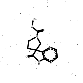 CC(C)(C)OC(=O)N1CCC2(C1)C(=O)Nc1nccnc12